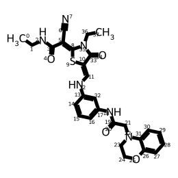 CCNC(=O)C(C#N)=c1sc(=CNc2cccc(NC(=O)CN3CCOc4ccccc43)c2)c(=O)n1CC